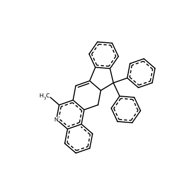 Cc1nc2ccccc2c2c1C=C1c3ccccc3C(c3ccccc3)(c3ccccc3)C1C2